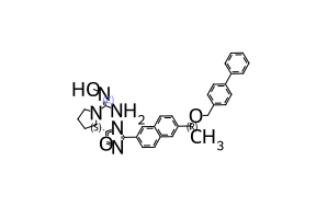 C[C@@H](OCc1ccc(-c2ccccc2)cc1)c1ccc2cc(-c3noc([C@@H]4CCCN4/C(N)=N\O)n3)ccc2c1